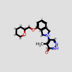 Cc1c(N2Cc3cccc(OCC4CCCCO4)c3C2)cn[nH]c1=O